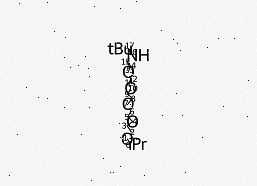 CC(C)OCCOCCOCCOCCOCCNC(C)(C)C